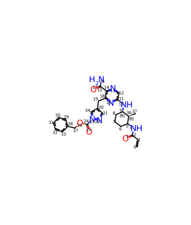 C=CC(=O)NC1CCC[C@@H](Nc2cnc(C(N)=O)c(Cc3cnn(C(=O)OCc4ccccc4)c3)n2)[C@H]1C